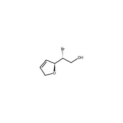 OC[C@@H](Br)[C@@H]1C=CCO1